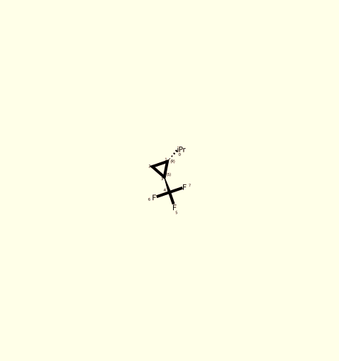 CC(C)[C@H]1C[C@@H]1C(F)(F)F